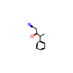 CC(C(=O)CC#N)c1ccccc1